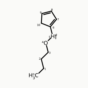 CCCC[O][Hf][C]1=CC=CC1